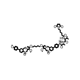 COc1ccc(C2=CC=C3C(C2)Cn2cc(OCCCCCOc4cn5c(c4OC)C=[N+]([O-])C4=CC=C(c6ccc(NC(=O)C(C)NC(=O)C(NC(=O)CCCCCN7C(=O)C=CC7=O)C(C)C)cc6)CC4C5)c(OC)c2C=[N+]3[O-])cc1